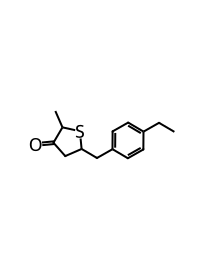 CCc1ccc(CC2CC(=O)C(C)S2)cc1